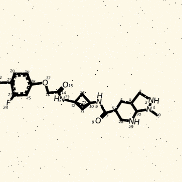 CN1NCC2CC(C(=O)NC34CC(NC(=O)COc5ccc(Cl)c(F)c5)(C3)C4)CNC21